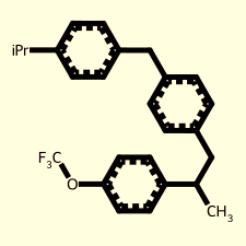 CC(C)c1ccc(Cc2ccc(CC(C)c3ccc(OC(F)(F)F)cc3)cc2)cc1